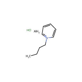 CCCC[n+]1ccccc1.Cl.[AlH3]